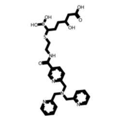 O=C(O)CC(O)CCC(SCCNC(=O)c1ccc(CN(Cc2ccccn2)Cc2ccccn2)nc1)B(O)O